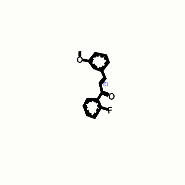 COc1cccc(/C=C/C(=O)c2ccccc2F)c1